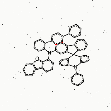 c1ccc(-c2ccc(-c3ccccc3N(c3ccc4c(c3)C3(c5ccccc5-4)c4ccccc4N(c4ccccc4)c4ccccc43)c3cccc4c3oc3ccccc34)cc2)cc1